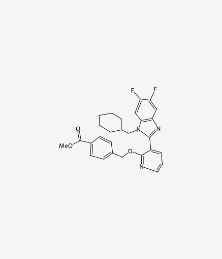 COC(=O)c1ccc(COc2ncccc2-c2nc3cc(F)c(F)cc3n2CC2CCCCC2)cc1